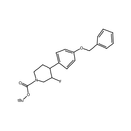 CC(C)(C)OC(=O)N1CCC(c2ccc(OCc3ccccc3)cc2)C(F)C1